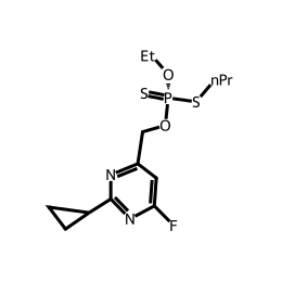 CCCS[P@@](=S)(OCC)OCc1cc(F)nc(C2CC2)n1